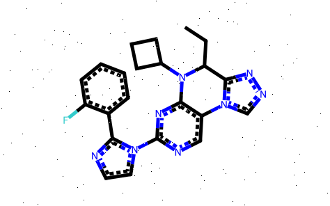 CCC1c2nncn2-c2cnc(-n3ccnc3-c3ccccc3F)nc2N1C1CCC1